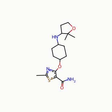 Cc1nc(OC2CCC(NC3CCOC3(C)C)CC2)c(C(N)=O)s1